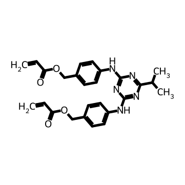 C=CC(=O)OCc1ccc(Nc2nc(Nc3ccc(COC(=O)C=C)cc3)nc(C(C)C)n2)cc1